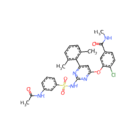 CNC(=O)c1ccc(Cl)c(Oc2cc(-c3c(C)cccc3C)nc(NS(=O)(=O)c3cccc(NC(C)=O)c3)n2)c1